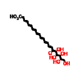 O=C(O)CCCCCCCCCCCCCCCC(=O)[C@H](O)[C@@H](O)[C@H](O)[C@H](O)CO